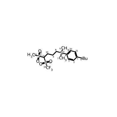 CCC(C)c1ccc([Si](C)(C)CCCC(S(C)(=O)=O)S(=O)(=O)C(F)(F)F)cc1